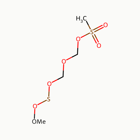 COOSOCOCOS(C)(=O)=O